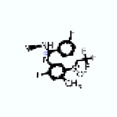 Cc1cc(F)c(/N=C(/NC#N)c2cccc(F)c2)cc1[S+]([O-])CC(F)(F)F